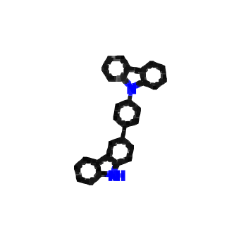 c1ccc2c(c1)[nH]c1ccc(-c3ccc(-n4c5ccccc5c5ccccc54)cc3)cc12